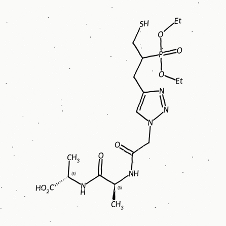 CCOP(=O)(OCC)C(CS)Cc1cn(CC(=O)N[C@@H](C)C(=O)N[C@@H](C)C(=O)O)nn1